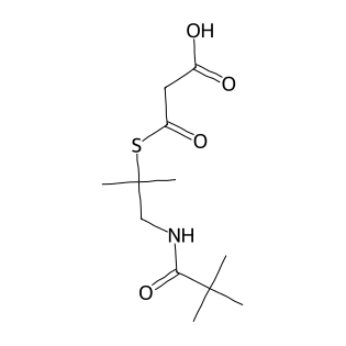 CC(C)(CNC(=O)C(C)(C)C)SC(=O)CC(=O)O